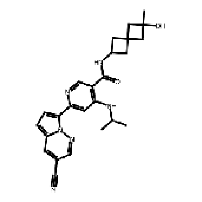 CC(C)Nc1cc(-c2ccc3cc(C#N)cnn23)ncc1C(=O)NC1CC2(C1)CC(C)(O)C2